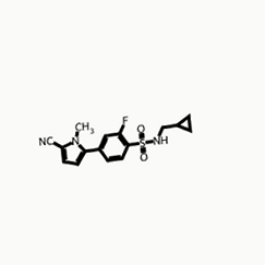 Cn1c(C#N)ccc1-c1ccc(S(=O)(=O)NCC2CC2)c(F)c1